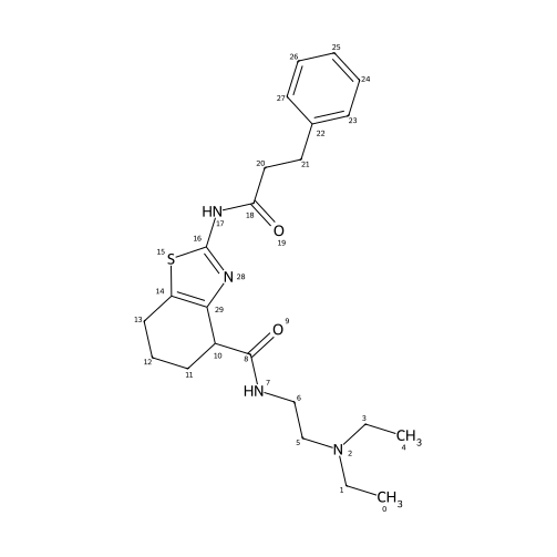 CCN(CC)CCNC(=O)C1CCCc2sc(NC(=O)CCc3ccccc3)nc21